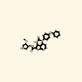 CO[C@H]1CNCC1NC(=O)c1sc2nccc3c2c1NC(=O)N3c1ccc(Oc2ccccc2)cc1